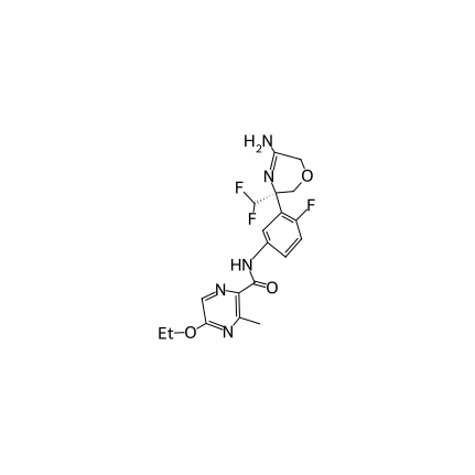 CCOc1cnc(C(=O)Nc2ccc(F)c([C@]3(C(F)F)COCC(N)=N3)c2)c(C)n1